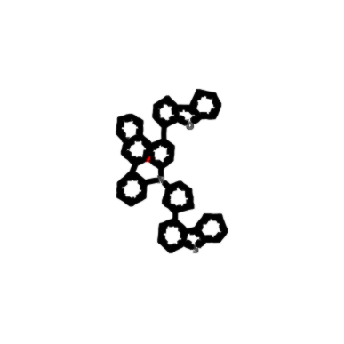 c1cc(-c2cccc3sc4ccccc4c23)cc(N(c2ccc(-c3cccc4c3oc3ccccc34)cc2)c2ccccc2-c2ccc3ccccc3c2)c1